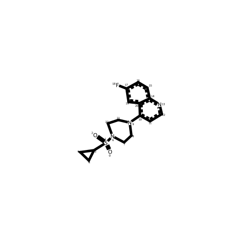 O=S(=O)(C1CC1)N1CCN(c2[c]cnc3ccc(F)cc23)CC1